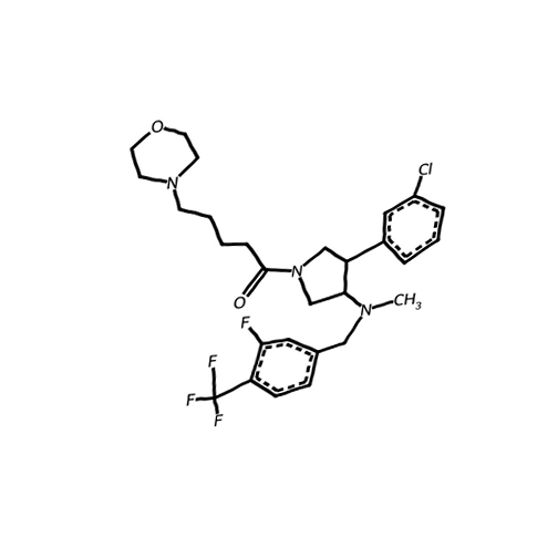 CN(Cc1ccc(C(F)(F)F)c(F)c1)C1CN(C(=O)CCCCN2CCOCC2)CC1c1cccc(Cl)c1